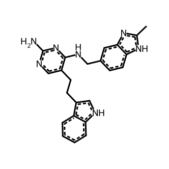 Cc1nc2cc(CNc3nc(N)ncc3CCc3c[nH]c4ccccc34)ccc2[nH]1